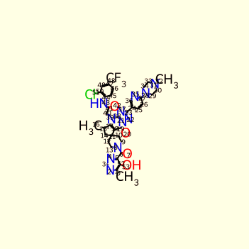 Cc1ncnc(C(=O)N2CCC3(CC2)CC(C)c2c3c(=O)n3nc(-c4ccc(N5CCN(C)CC5)nc4)nc3n2CC(=O)Nc2ccc(C(F)(F)F)cc2Cl)c1O